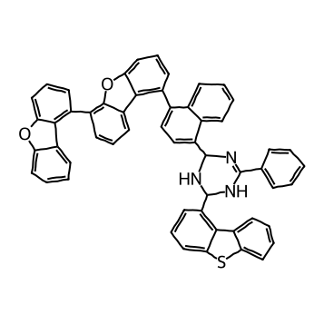 c1ccc(C2=NC(c3ccc(-c4cccc5oc6c(-c7cccc8oc9ccccc9c78)cccc6c45)c4ccccc34)NC(c3cccc4sc5ccccc5c34)N2)cc1